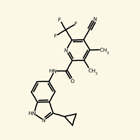 Cc1c(C(=O)Nc2ccc3[nH]nc(C4CC4)c3c2)nc(C(F)(F)F)c(C#N)c1C